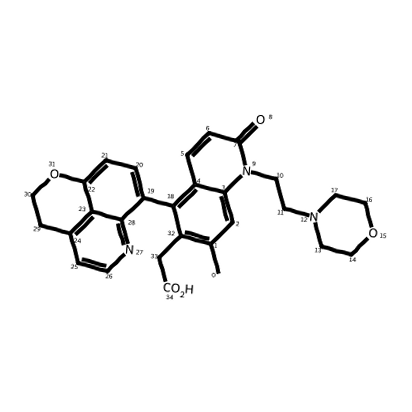 Cc1cc2c(ccc(=O)n2CCN2CCOCC2)c(-c2ccc3c4c(ccnc24)CCO3)c1CC(=O)O